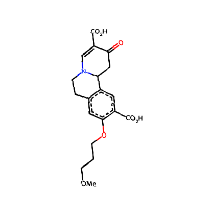 COCCCOc1cc2c(cc1C(=O)O)C1CC(=O)C(C(=O)O)=CN1CC2